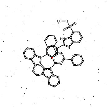 COS(=O)(=O)c1cccc2nc(-c3ccc(-n4c5ccccc5c5ccc6c7ccccc7n(-c7nc(-c8ccccc8)nc(C8C=CC=CC8)n7)c6c54)cc3)[nH]c12